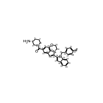 N[C@@H]1CCCN(C(=O)c2cc3c4c(c2)nc(-c2cc5ccccc5n2Cc2ccc(F)cc2)n4CCO3)C1